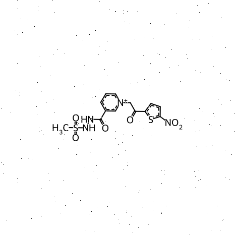 CS(=O)(=O)NNC(=O)c1ccc[n+](CC(=O)c2ccc([N+](=O)[O-])s2)c1